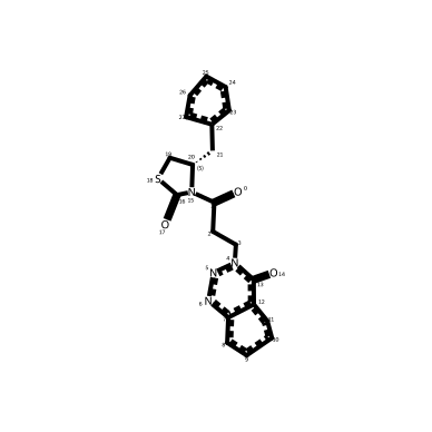 O=C(CCn1nnc2ccccc2c1=O)N1C(=O)SC[C@@H]1Cc1ccccc1